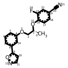 C[C@H](COc1cccc(-c2ccno2)c1)Oc1ccc(C#N)cc1F